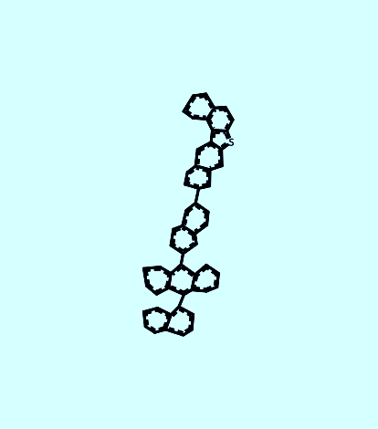 c1ccc2c(-c3c4ccccc4c(-c4ccc5cc(-c6ccc7cc8c(cc7c6)sc6ccc7ccccc7c68)ccc5c4)c4ccccc34)cccc2c1